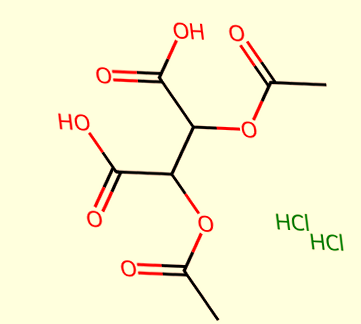 CC(=O)OC(C(=O)O)C(OC(C)=O)C(=O)O.Cl.Cl